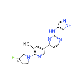 N#Cc1cc(-c2ccnc(Nc3cn[nH]c3)n2)cnc1N1CC[C@H](F)C1